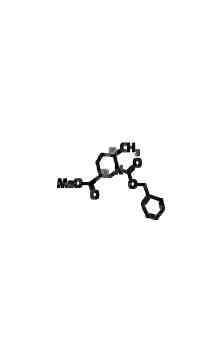 COC(=O)[C@H]1CC[C@@H](C)N(C(=O)OCc2ccccc2)C1